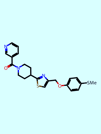 CSc1ccc(OCc2csc(C3CCN(C(=O)c4cccnc4)CC3)n2)cc1